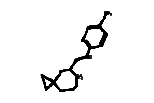 FC(F)(F)c1ccc(NCC2CC3(CCN2)CC3)nc1